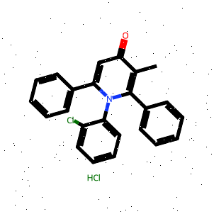 Cc1c(-c2ccccc2)n(-c2ccccc2Cl)c(-c2ccccc2)cc1=O.Cl